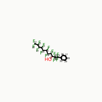 OC(C(F)C(F)C(F)C(F)C(F)C(F)C(F)C(F)F)C(F)(F)C(F)(F)c1ccccc1